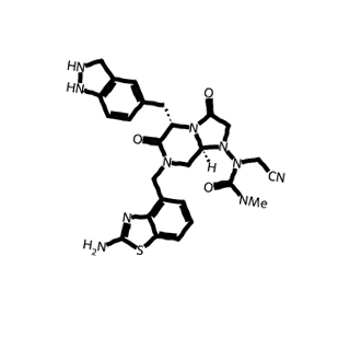 CNC(=O)N(CC#N)N1CC(=O)N2[C@@H](Cc3ccc4c(c3)CNN4)C(=O)N(Cc3cccc4sc(N)nc34)C[C@@H]21